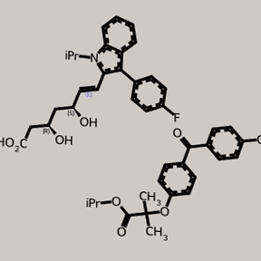 CC(C)OC(=O)C(C)(C)Oc1ccc(C(=O)c2ccc(Cl)cc2)cc1.CC(C)n1c(/C=C/[C@@H](O)C[C@@H](O)CC(=O)O)c(-c2ccc(F)cc2)c2ccccc21